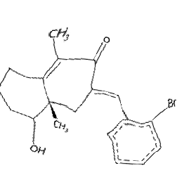 CC1=C2CCCC(O)[C@@]2(C)C/C(=C\c2ccccc2Br)C1=O